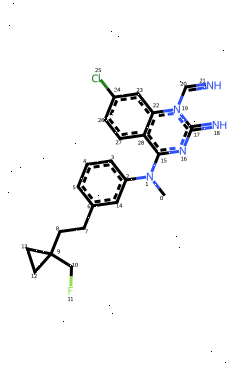 CN(c1cccc(CCC2(CF)CC2)c1)c1nc(=N)n(C=N)c2cc(Cl)ccc12